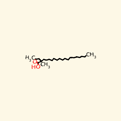 CCCCCCCCCCCCCCCCC[C@](C)(CCC)C(=O)O